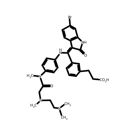 CN(C)CCN(C)CC(=O)N(C)c1ccc(NC(=C2C(=O)Nc3cc(Br)ccc32)c2cccc(CCC(=O)O)c2)cc1